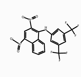 O=[N+]([O-])c1cc([N+](=O)[O-])c2ccccc2c1Nc1cc(C(F)(F)F)cc(C(F)(F)F)c1